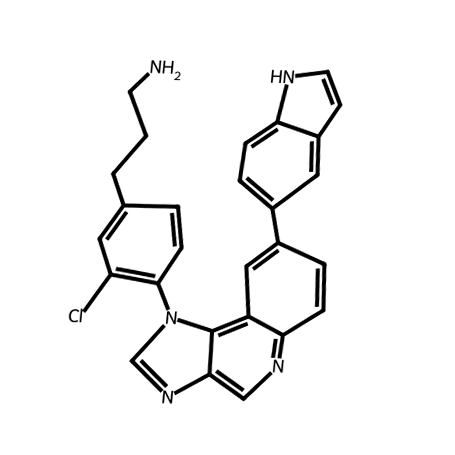 NCCCc1ccc(-n2cnc3cnc4ccc(-c5ccc6[nH]ccc6c5)cc4c32)c(Cl)c1